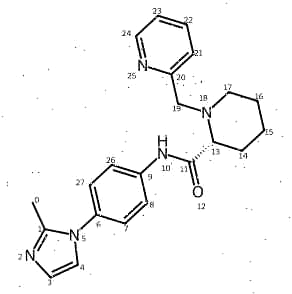 Cc1nccn1-c1ccc(NC(=O)[C@H]2CCCCN2Cc2ccccn2)cc1